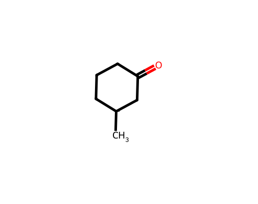 C[C]1CCCC(=O)C1